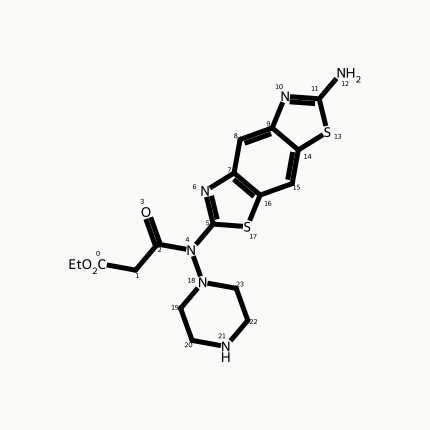 CCOC(=O)CC(=O)N(c1nc2cc3nc(N)sc3cc2s1)N1CCNCC1